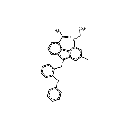 Cc1cc(OCC(=O)O)c2c3c(C(N)=O)cccc3n(Cc3ccccc3Oc3ccccc3)c2c1